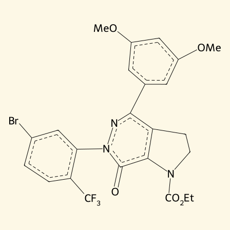 CCOC(=O)N1CCc2c(-c3cc(OC)cc(OC)c3)nn(-c3cc(Br)ccc3C(F)(F)F)c(=O)c21